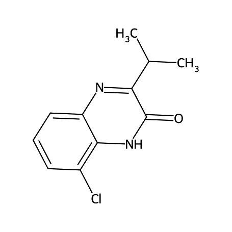 CC(C)c1nc2cccc(Cl)c2[nH]c1=O